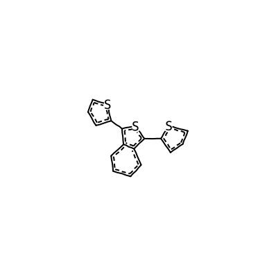 c1csc(-c2sc(-c3cccs3)c3ccccc23)c1